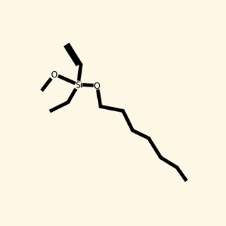 C=C[Si](CC)(OC)OCCCCCCC